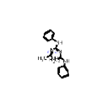 C=C(/N=C(\N=C(\C)N)Nc1ccccc1)Nc1ccccc1